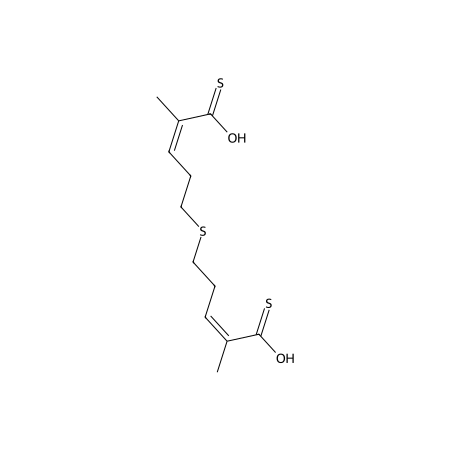 CC(=CCCSCCC=C(C)C(O)=S)C(O)=S